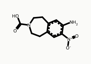 Nc1cc2c(cc1[N+](=O)[O-])CCN(C(=O)O)CC2